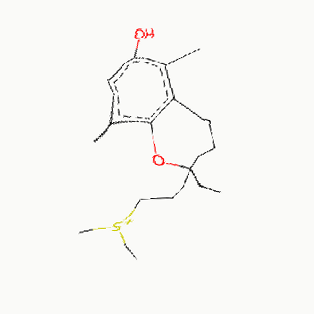 Cc1cc(O)c(C)c2c1OC(C)(CC[S+](C)C)CC2